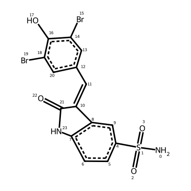 NS(=O)(=O)c1ccc2c(c1)/C(=C/c1cc(Br)c(O)c(Br)c1)C(=O)N2